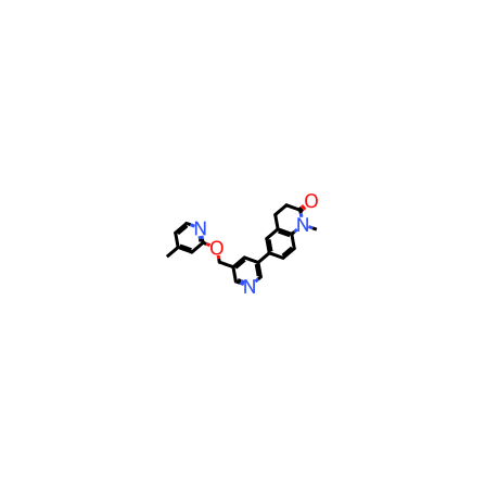 Cc1ccnc(OCc2cncc(-c3ccc4c(c3)CCC(=O)N4C)c2)c1